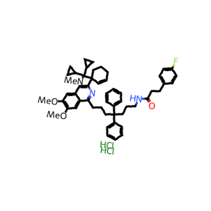 CNC(C1CC1)(C1CC1)C1(c2cc3cc(OC)c(OC)cc3c(CCCC(CCCNC(=O)CCc3ccc(F)cc3)(c3ccccc3)c3ccccc3)n2)C=CCCC1.Cl.Cl